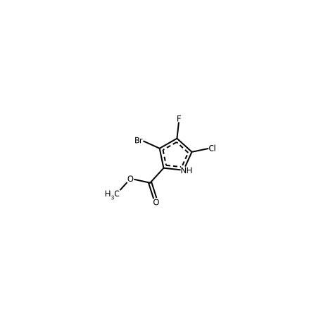 COC(=O)c1[nH]c(Cl)c(F)c1Br